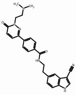 CN(C)CCn1nc(-c2ccc(C(=O)NCCc3ccc4[nH]cc(C#N)c4c3)cc2)ccc1=O